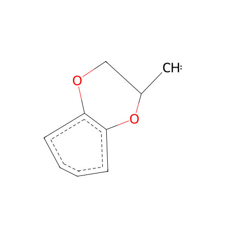 [CH]C1COc2ccccc2O1